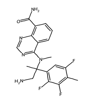 Cc1c(F)cc(C(C)(CN)N(C)c2ncnc3c(C(N)=O)cccc23)c(F)c1F